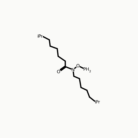 CC(C)CCCCCC(=O)N(CCCCCC(C)C)OP